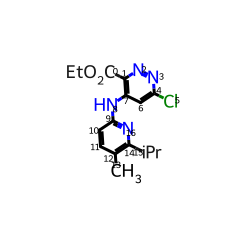 CCOC(=O)c1nnc(Cl)cc1Nc1ccc(C)c(C(C)C)n1